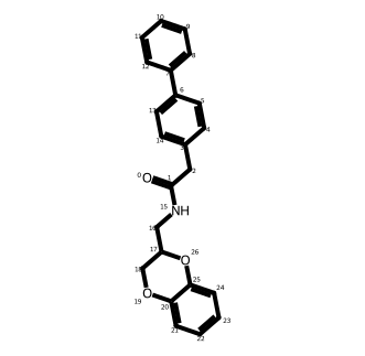 O=C(Cc1ccc(-c2ccccc2)cc1)NCC1COc2ccccc2O1